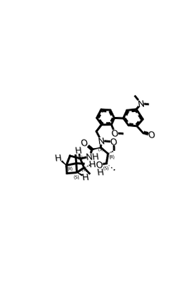 COc1c(CN2OC[C@H]([C@H](C)O)[C@H]2C(=O)N[C@H]2C[C@H]3C[C@@H]([C@@H]2C)C3(C)C)cccc1-c1cc(C=O)cc(N(C)C)c1